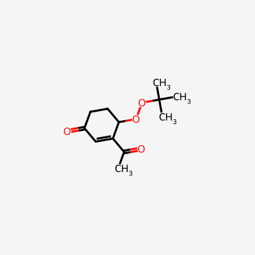 CC(=O)C1=CC(=O)CCC1OOC(C)(C)C